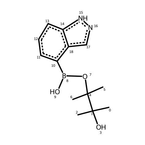 CC(C)(O)C(C)(C)OB(O)c1cccc2[nH]ncc12